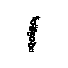 CCCC1CCC(c2ccc(C(=O)OC3CCC(c4ccc(CC)cc4F)CC3)c(F)c2F)CC1